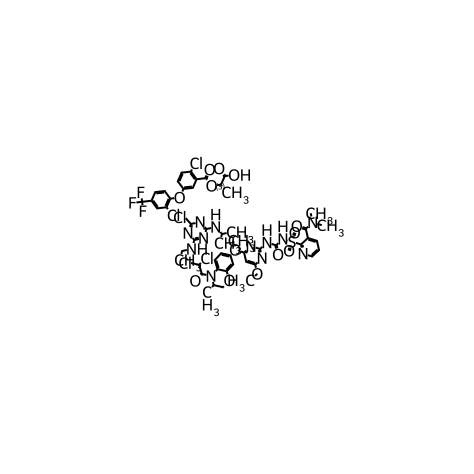 CC1COc2ccccc2N1C(=O)C(Cl)Cl.CCNc1nc(Cl)nc(NC(C)C)n1.COc1cc(OC)nc(NC(=O)NS(=O)(=O)c2ncccc2C(=O)N(C)C)n1.C[C@H](OC(=O)c1cc(Oc2ccc(C(F)(F)F)cc2Cl)ccc1Cl)C(=O)O